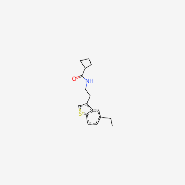 CCc1ccc2scc(CCNC(=O)C3CCC3)c2c1